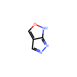 c1nnc2[nH]occ1-2